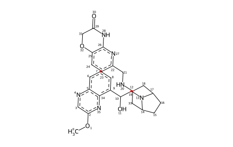 COc1cnc2cccc(C(O)CN3C4CCC3CC(NCc3ccc5c(n3)NC(=O)CO5)C4)c2n1